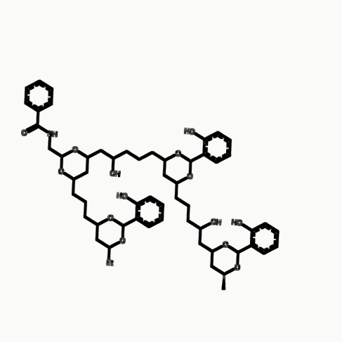 CCC1CC(CCCC2CC(CC(O)CCCC3CC(CCCC(O)CC4C[C@H](C)OC(c5ccccc5O)O4)OC(c4ccccc4O)O3)OC(CNC(=O)c3ccccc3)O2)OC(c2ccccc2O)O1